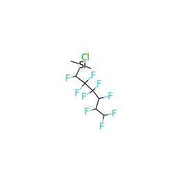 C[Si](C)(Cl)C(F)C(F)(F)C(F)(F)C(F)C(F)C(F)F